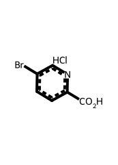 Cl.O=C(O)c1ccc(Br)cn1